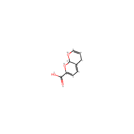 O=C(O)C1=CC=C2CC=COC2O1